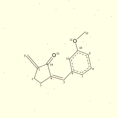 C=C1CCC(=Cc2cccc(OC)c2)C1=O